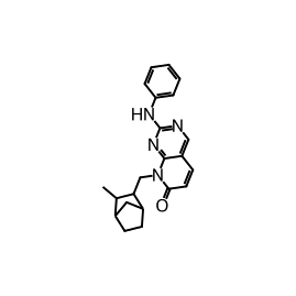 CC1C2CCC(C2)C1Cn1c(=O)ccc2cnc(Nc3ccccc3)nc21